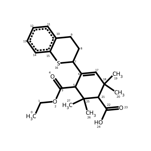 CCOC(=O)C1C(C2CCc3ccccc3S2)=CC(C)(C)C(C(=O)O)C1(C)C